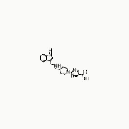 O=C(O)c1cnc(N2CCC(CNCc3c[nH]c4ccccc34)CC2)nc1